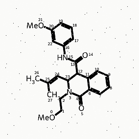 COCCN1C(=O)c2ccccc2C(C(=O)Nc2cccc(OC)c2)C1C=C(C)C